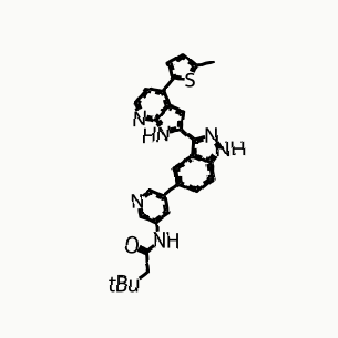 Cc1ccc(-c2ccnc3[nH]c(-c4n[nH]c5ccc(-c6cncc(NC(=O)CC(C)(C)C)c6)cc45)cc23)s1